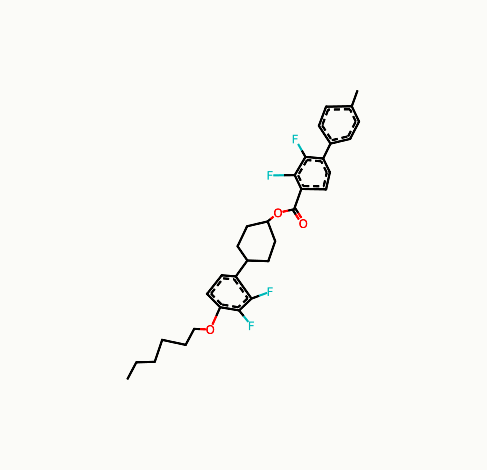 CCCCCCOc1ccc(C2CCC(OC(=O)c3ccc(-c4ccc(C)cc4)c(F)c3F)CC2)c(F)c1F